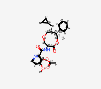 COc1ccnc(C(=O)N[C@H]2COC[C@H](CC3CC3)[C@@H](c3ccccc3)[C@H](C)OC2=O)c1OC(C)=O